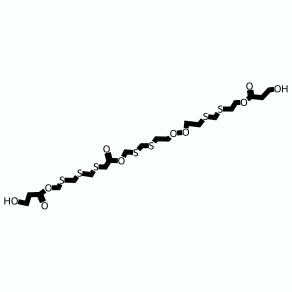 O=C(CCO)OCCSCSCCOOCCSCSCOC(=O)CSCSCSCOC(=O)CCO